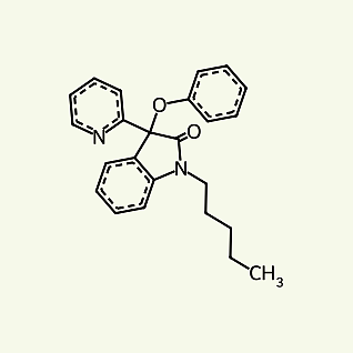 CCCCCN1C(=O)C(Oc2ccccc2)(c2ccccn2)c2ccccc21